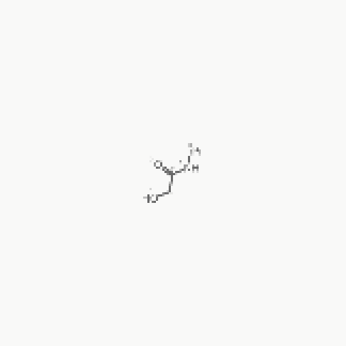 CCCNC(=O)[CH]O